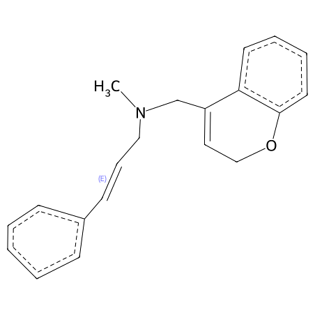 CN(C/C=C/c1ccccc1)CC1=CCOc2ccccc21